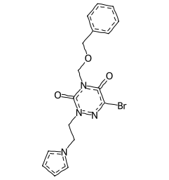 O=c1c(Br)nn(CCn2cccc2)c(=O)n1COCc1ccccc1